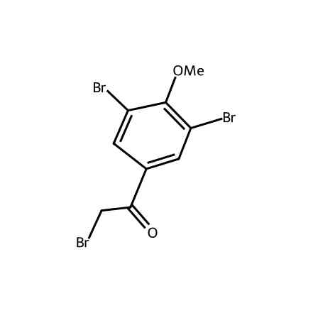 COc1c(Br)cc(C(=O)CBr)cc1Br